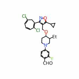 CCC1CN(c2ccc(C=O)c(F)c2)CCC1OCc1c(C2=C(Cl)C=CC=C(Cl)C2)noc1C1CC1